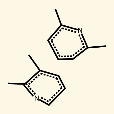 Cc1cccc(C)n1.Cc1cccnc1C